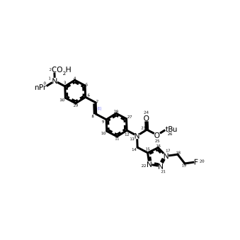 CCCN(C(=O)O)c1ccc(/C=C/c2ccc(N(Cc3cn(CCF)nn3)C(=O)OC(C)(C)C)cc2)cc1